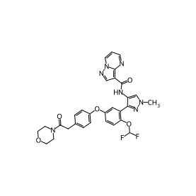 Cn1cc(NC(=O)c2cnn3cccnc23)c(-c2cc(Oc3ccc(CC(=O)N4CCOCC4)cc3)ccc2OC(F)F)n1